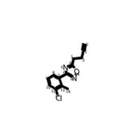 C#CCCc1nc(-c2cccc(Cl)c2C)no1